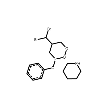 BrC(Br)C1COOP(Oc2ccccc2)C1.C1CCPCC1